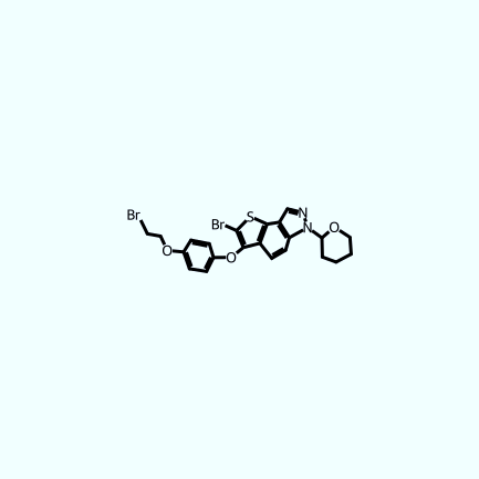 BrCCOc1ccc(Oc2c(Br)sc3c2ccc2c3cnn2C2CCCCO2)cc1